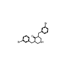 O=C1C(Cc2cccc(Br)c2)CNCC1Cc1cccc(Br)c1